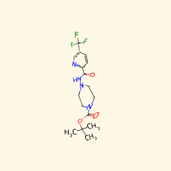 CC(C)(C)OC(=O)N1CCN(NC(=O)c2ccc(C(F)(F)F)cn2)CC1